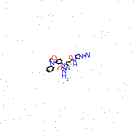 N#CN1CC[C@@H](NC(=O)c2cc3c(nc(N)c(=O)n3-c3ccc4c(c3)N(c3ccccc3)CCO4)s2)C1